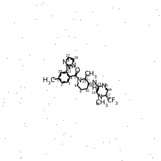 Cc1ccc(C(=O)N2CCC[C@@H](NC3=CN(C)C(C(F)(F)F)C=N3)[C@@H]2C)c(-n2nccn2)c1